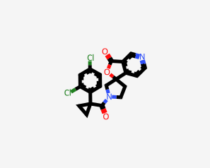 O=C1OC2(CCN(C(=O)C3(c4ccc(Cl)cc4Cl)CC3)C2)c2ccncc21